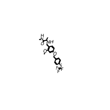 CNC(=O)C(C)NCc1ccc(OCc2ccc(SC(F)(F)F)cc2)cc1OC